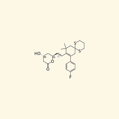 CC1(C)CC2(CC(c3ccc(F)cc3)=C1/C=C/[C@@H]1C[C@@H](O)CC(=O)O1)SCCCS2